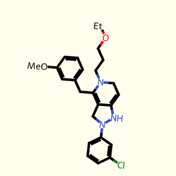 CCOCCCN1CC=C2NN(c3cccc(Cl)c3)CC2=C1Cc1cccc(OC)c1